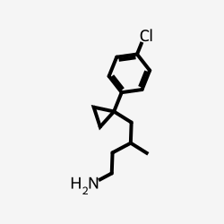 CC(CCN)CC1(c2ccc(Cl)cc2)CC1